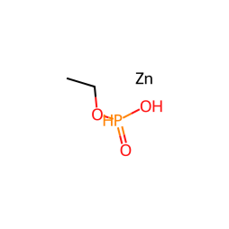 CCO[PH](=O)O.[Zn]